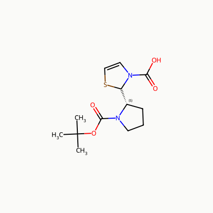 CC(C)(C)OC(=O)N1CCC[C@H]1C1SC=CN1C(=O)O